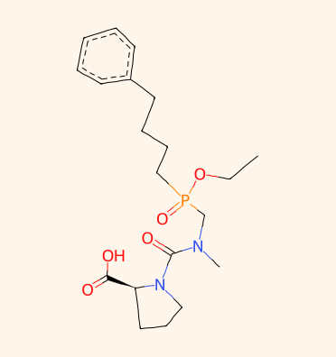 CCOP(=O)(CCCCc1ccccc1)CN(C)C(=O)N1CCC[C@H]1C(=O)O